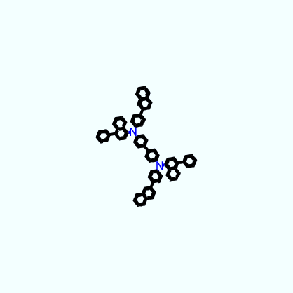 c1ccc(-c2ccc(N(c3ccc(-c4ccc(N(c5ccc(-c6ccc7ccccc7c6)cc5)c5ccc(-c6ccccc6)c6ccccc56)cc4)cc3)c3ccc(-c4ccc5ccccc5c4)cc3)c3ccccc23)cc1